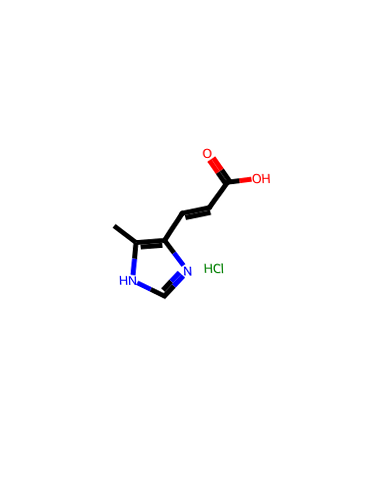 Cc1[nH]cnc1/C=C/C(=O)O.Cl